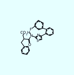 CN(C(=O)C(CC(=O)O)Cc1ccccc1)c1nc(-c2ccccc2-c2cccc(F)c2)cs1